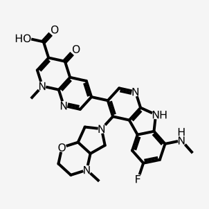 CNc1cc(F)cc2c1[nH]c1ncc(-c3cnc4c(c3)c(=O)c(C(=O)O)cn4C)c(N3CC4OCCN(C)C4C3)c12